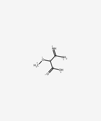 COC(C(=N)N)C(=O)O